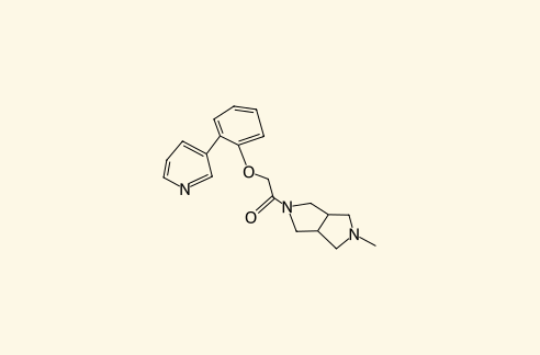 CN1CC2CN(C(=O)COc3ccccc3-c3cccnc3)CC2C1